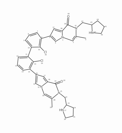 Cc1cn2cc(-c3cccc(-c4cccc(-c5cc6c(=O)n(CC7CCCN7)c(C)cn6c5)c4Cl)c3Cl)cc2c(=O)n1CC1CCCN1